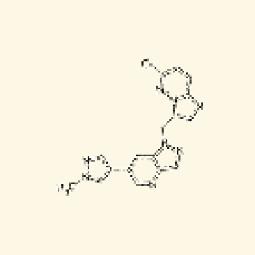 Cn1cc(-c2cnc3cnn(Cc4cnc5ccc(Cl)nn45)c3c2)cn1